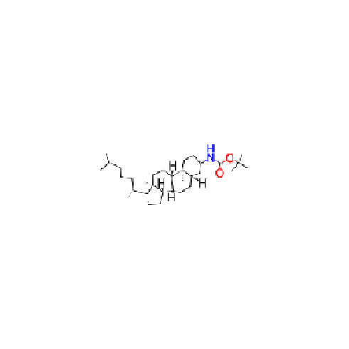 CC(C)CCC[C@@H](C)[C@H]1CC[C@H]2[C@@H]3CC[C@H]4CC(NC(=O)OC(C)(C)C)CC[C@]4(C)[C@H]3CC[C@]12C